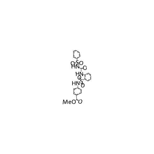 COC(=O)c1ccc(NS(=O)(=O)c2ccccc2NC(=O)NS(=O)(=O)c2ccccc2)cc1